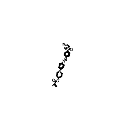 C=C(C)C(=O)OC1CCN(c2ccc(/N=N/c3ccc(S(=O)(=O)CC(C)CC)cc3)cc2)CC1